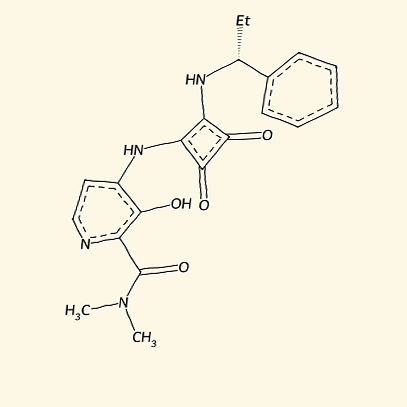 CC[C@@H](Nc1c(Nc2ccnc(C(=O)N(C)C)c2O)c(=O)c1=O)c1ccccc1